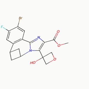 COC(=O)c1nc2n(c1C1(O)COC1)C1CC(C1)c1cc(F)c(Br)cc1-2